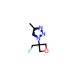 Cc1cn(C2(CF)COC2)nn1